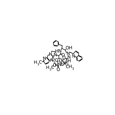 CCC(C)C(C(=O)NC(Cc1ccccc1)C(O)CN(Cc1ccc2ccccc2n1)NC(=O)CC(C)(C)CNC(=O)OC)N1CCN(Cc2cccc(C)n2)C1=O